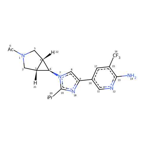 CC(=O)N1C[C@@H]2[C@H](C1)[C@H]2n1cc(-c2cnc(N)c(C(F)(F)F)c2)nc1C(C)C